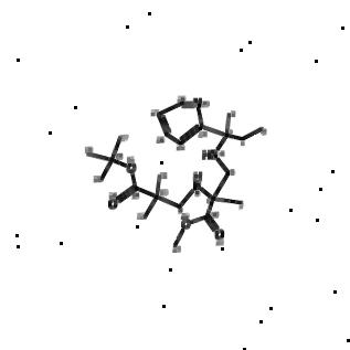 CCC(C)(BCC(C)(BCC(C)(C)C(=O)OC(C)(C)C)C(=O)OC)c1ccccn1